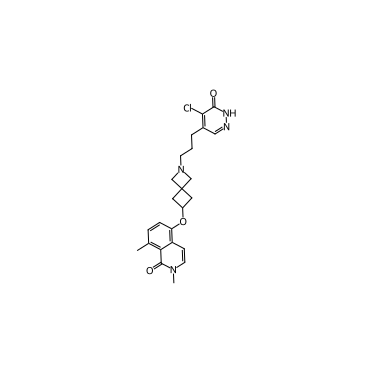 Cc1ccc(OC2CC3(C2)CN(CCCc2cn[nH]c(=O)c2Cl)C3)c2ccn(C)c(=O)c12